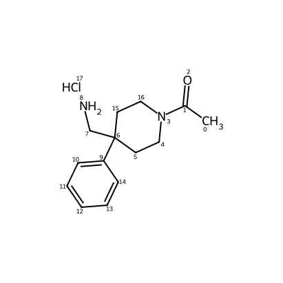 CC(=O)N1CCC(CN)(c2ccccc2)CC1.Cl